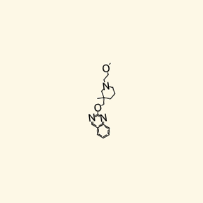 COCCN1CCCC(C)(COc2ncc3ccccc3n2)C1